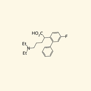 CCN(CC)CCCC(C(=O)O)c1ccc(F)cc1-c1ccccc1